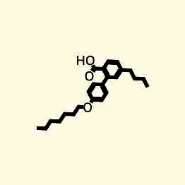 CCCCCCCOc1ccc(-c2cc(CCCC)ccc2C(=O)O)cc1